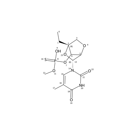 CC[C@@]12COC(C1OP(O)(=S)OC)[C@H](n1cc(C)c(=O)[nH]c1=O)O2